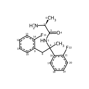 C[C@H](N)C(=O)NC(C)(Cc1ccccc1F)c1ccccc1F